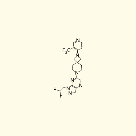 FC(F)Cn1ncc2ncc(N3CCC4(CC3)CN(c3ccncc3C(F)(F)F)C4)nc21